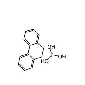 OP(O)O.c1ccc2c(c1)CCc1ccccc1-2